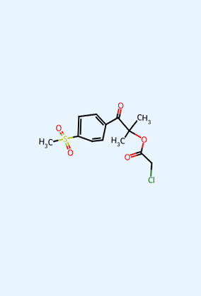 CC(C)(OC(=O)CCl)C(=O)c1ccc(S(C)(=O)=O)cc1